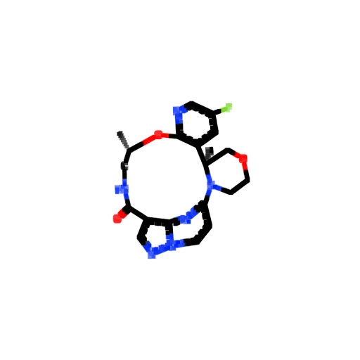 C[C@H]1CNC(=O)c2cnn3ccc(nc23)N2CCOC[C@@H]2c2cc(F)cnc2O1